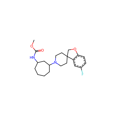 COC(=O)NC1CCCCC(N2CCC3(CC2)COc2ccc(F)cc23)C1